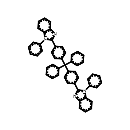 c1ccc(-n2c(-c3ccc(C(c4ccccc4)(c4ccccc4)c4ccc(-c5nc6ccccc6n5-c5ccccc5)cc4)cc3)nc3ccccc32)cc1